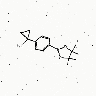 CC1(C)OB(c2ccc(C3(C(F)(F)F)CC3)cc2)OC1(C)C